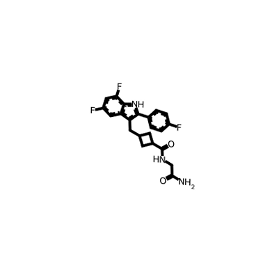 NC(=O)CNC(=O)C1CC(Cc2c(-c3ccc(F)cc3)[nH]c3c(F)cc(F)cc23)C1